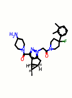 Cc1cccc(C2(F)CCN(C(=O)Cn3nc(C(=O)N4CCC(N)CC4)c4c3C[C@H]3[C@@H](C)[C@@H]43)CC2)c1C